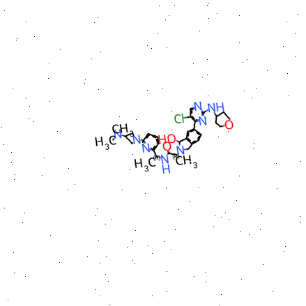 C[C@H](C(=O)N[C@H](C)c1cccc(N2CC(N(C)C)C2)n1)N1Cc2ccc(-c3nc(NC4CCOCC4)ncc3Cl)cc2C1O